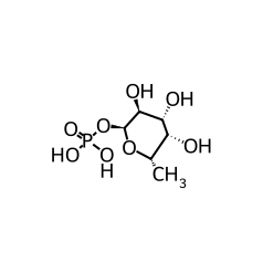 C[C@@H]1O[C@@H](OP(=O)(O)O)[C@@H](O)[C@H](O)[C@@H]1O